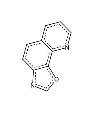 c1cnc2c(c1)ccc1ncoc12